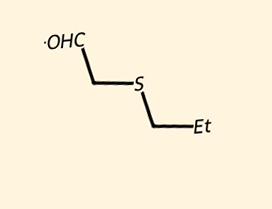 CCCSC[C]=O